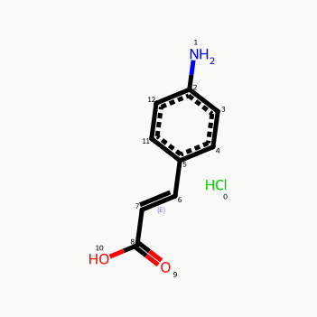 Cl.Nc1ccc(/C=C/C(=O)O)cc1